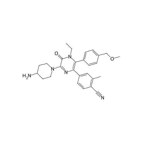 CCn1c(-c2ccc(COC)cc2)c(-c2ccc(C#N)c(C)c2)nc(N2CCC(N)CC2)c1=O